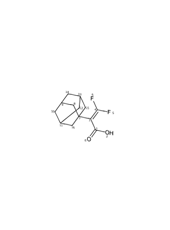 O=C(O)C(=C(F)F)C12CC3CC(CC(C3)C1)C2